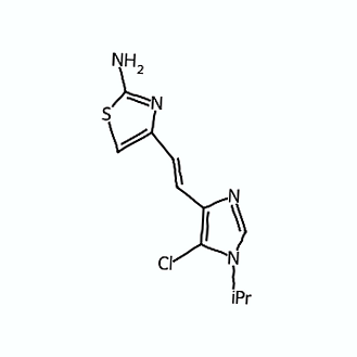 CC(C)n1cnc(C=Cc2csc(N)n2)c1Cl